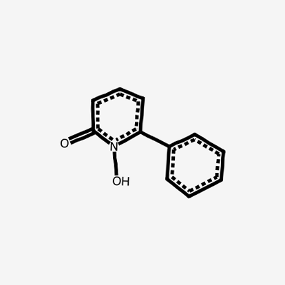 O=c1cccc(-c2ccccc2)n1O